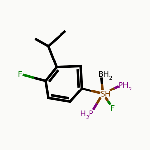 B[SH](F)(P)(P)c1ccc(F)c(C(C)C)c1